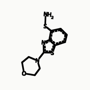 NSc1cccc2sc(N3CCOCC3)nc12